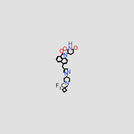 O=C1CCC(N2C(=O)c3cccc4c(Cc5cnn(C6CCN(CC7(C(F)(F)F)CCC7)CC6)c5)ccc2c34)C(=O)N1